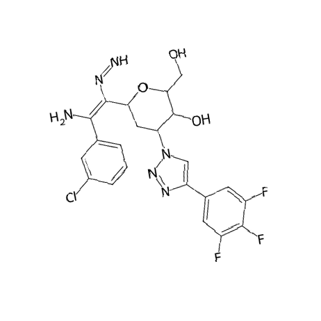 N=N/C(=C(\N)c1cccc(Cl)c1)C1CC(n2cc(-c3cc(F)c(F)c(F)c3)nn2)C(O)C(CO)O1